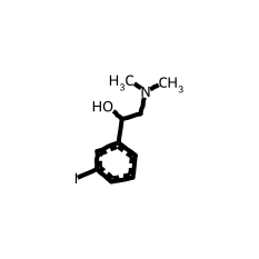 CN(C)CC(O)c1cccc(I)c1